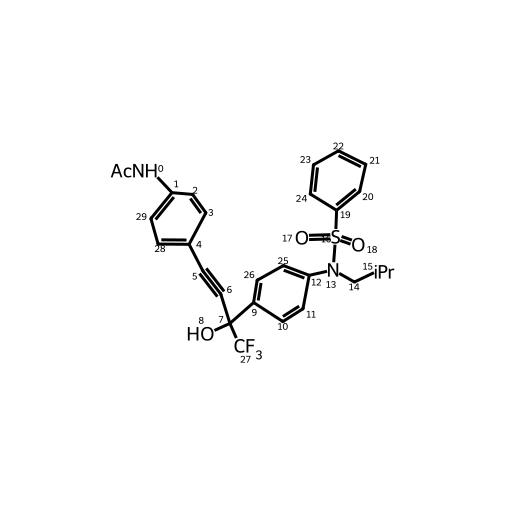 CC(=O)Nc1ccc(C#CC(O)(c2ccc(N(CC(C)C)S(=O)(=O)c3ccccc3)cc2)C(F)(F)F)cc1